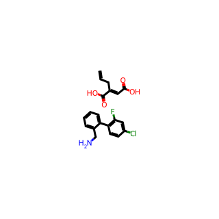 C=CC/C(=C\C(=O)O)C(=O)O.NCc1ccccc1-c1ccc(Cl)cc1F